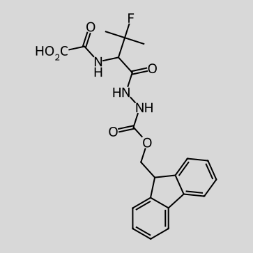 CC(C)(F)C(NC(=O)C(=O)O)C(=O)NNC(=O)OCC1c2ccccc2-c2ccccc21